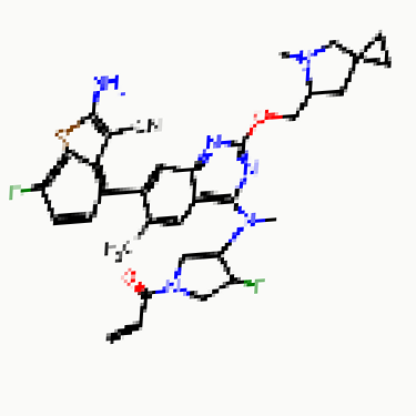 C=CC(=O)N1CC(F)C(N(C)c2nc(OCC3CC4(CC4)CN3C)nc3cc(-c4ccc(F)c5sc(N)c(C#N)c45)c(C(F)(F)F)cc23)C1